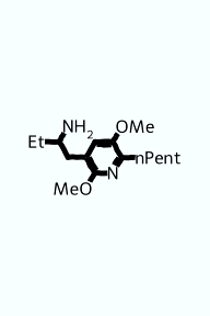 CCCCCc1nc(OC)c(CC(N)CC)cc1OC